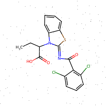 CCC(C(=O)O)n1c(=NC(=O)c2c(Cl)cccc2Cl)sc2ccccc21